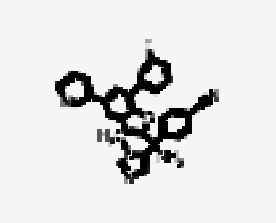 Cn1cncc1C(N)(c1ccc(C#N)cc1)c1cc2cc(-c3cccnc3)cc(-c3cccc(F)c3)c2o1